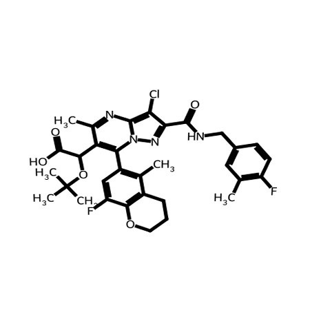 Cc1cc(CNC(=O)c2nn3c(-c4cc(F)c5c(c4C)CCCO5)c(C(OC(C)(C)C)C(=O)O)c(C)nc3c2Cl)ccc1F